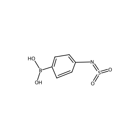 O=S(=O)=Nc1ccc(B(O)O)cc1